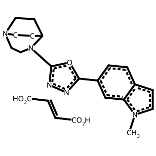 Cn1ccc2ccc(-c3nnc(N4CCN5CCC4CC5)o3)cc21.O=C(O)/C=C/C(=O)O